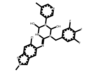 Cc1cncc(N2C(O)N/C(=N\c3cc4cn(C)nc4cc3Cl)N(Cc3cc(F)c(F)c(F)c3)C2O)c1